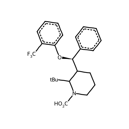 CC(C)(C)C1C([C@@H](Oc2ccccc2C(F)(F)F)c2ccccc2)CCCN1C(=O)O